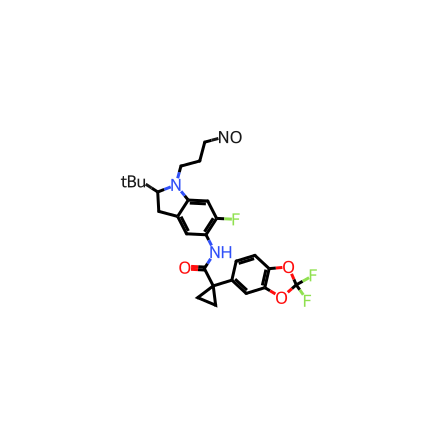 CC(C)(C)C1Cc2cc(NC(=O)C3(c4ccc5c(c4)OC(F)(F)O5)CC3)c(F)cc2N1CCCN=O